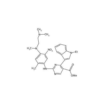 CCn1cc(-c2nc(Nc3cc([N+](=O)[O-])c(N(C)CCN(C)C)cc3C)ncc2C(=O)OC)c2ccccc21